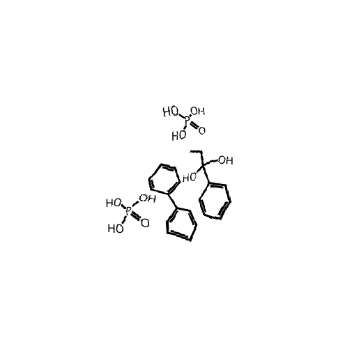 CCC(O)(O)c1ccccc1.O=P(O)(O)O.O=P(O)(O)O.c1ccc(-c2ccccc2)cc1